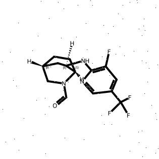 O=CN1C[C@@H]2CC[C@H]1[C@H](Nc1ncc(C(F)(F)F)cc1F)C2